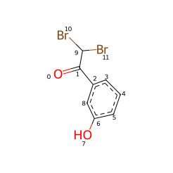 O=C(c1cccc(O)c1)C(Br)Br